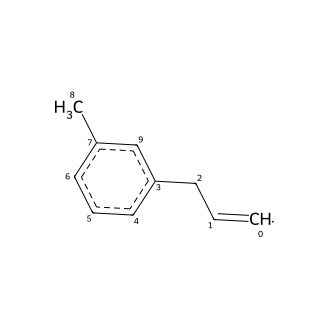 [CH]=CCc1cccc(C)c1